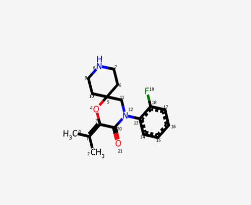 CC(C)=C1OC2(CCNCC2)CN(c2ccccc2F)C1=O